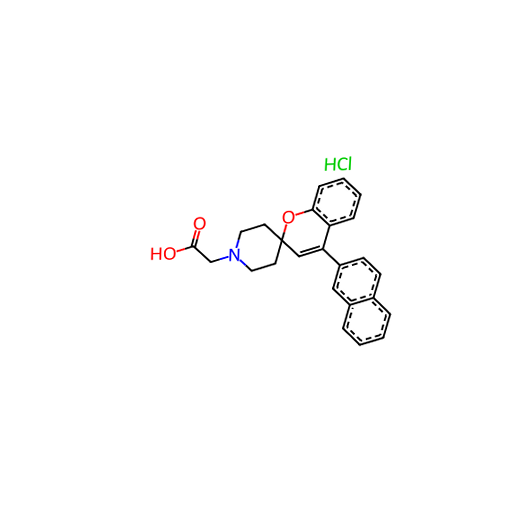 Cl.O=C(O)CN1CCC2(C=C(c3ccc4ccccc4c3)c3ccccc3O2)CC1